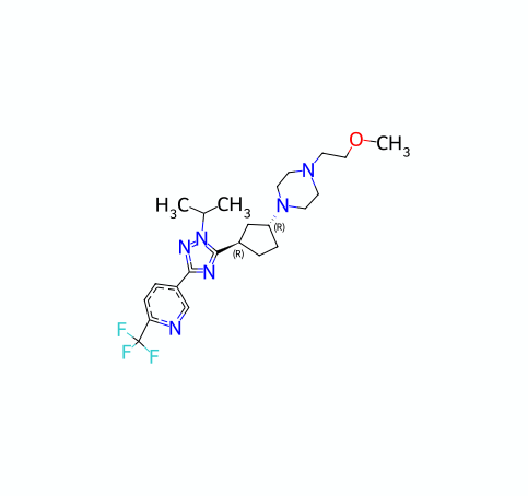 COCCN1CCN([C@@H]2CC[C@@H](c3nc(-c4ccc(C(F)(F)F)nc4)nn3C(C)C)C2)CC1